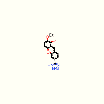 CCOc1ccc2oc3cc(-c4nnn[nH]4)ccc3cc-2c1=O